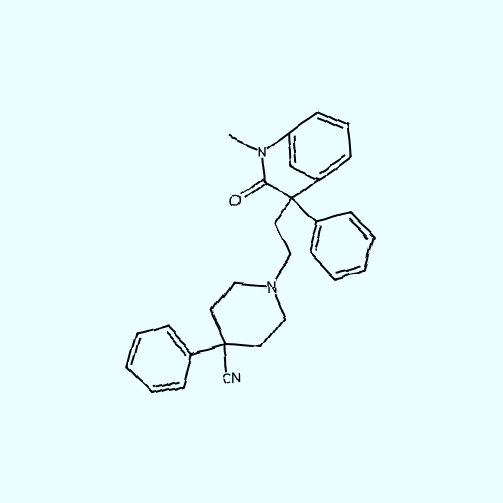 CN1C(=O)C(CCN2CCC(C#N)(c3ccccc3)CC2)(c2ccccc2)c2cccc1c2